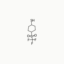 O=S(=O)(C1CCC(S)CC1)C(F)(F)F